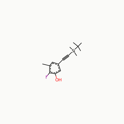 Cc1cc(C#C[Si](C)(C)C(C)(C)C)cc(O)c1I